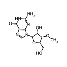 CO[C@@H]1[C@@H](O)[C@H](n2cnc3c(=O)[nH]c(N)nc32)O[C@@H]1CO